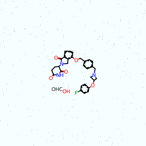 O=C1CCC(N2Cc3c(OCc4ccc(CN5CC(Oc6ccc(F)cc6)C5)cc4)cccc3C2=O)C(=O)N1.O=CO